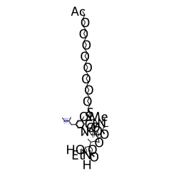 C/C=C(\C)Cc1cc(OC)c(Cl)c(N(C)C(=O)C[C@@H](OC(=O)C(C)N(C)C(=O)CCSSCCOCCOCCOCCOCCOCCOCCOCCOCCC(C)=O)C2(C)OC2C(C)C2C[C@@](O)(CC)NC(=O)O2)c1